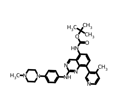 Cc1ccncc1-c1ccc(NC(=O)OC(C)(C)C)c2cnc(Nc3ccc(N4CCN(C)CC4)cc3)nc12